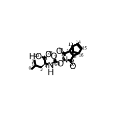 CC(C)C[C@H](NC(=O)ON1C(=O)C2C3C=CC(C3)C2C1=O)C(=O)O